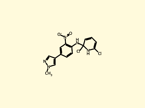 Cn1cc(-c2ccc(NC3(Cl)C=CC=C(Cl)N3)c([N+](=O)[O-])c2)cn1